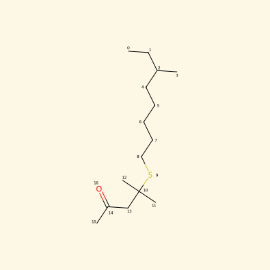 CCC(C)CCCCCSC(C)(C)CC(C)=O